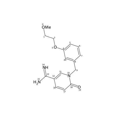 COCCOc1cccc(Cn2cc(C(=N)N)ccc2=O)c1